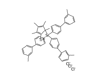 CC1=C(C)C(C)([Si](c2ccc(-c3cccc(C)c3)cc2)(c2ccc(-c3cccc(C)c3)cc2)c2ccc(-c3cccc(C)c3)cc2)[C]([Ti+3])=C1C.[Cl-].[Cl-].[Cl-]